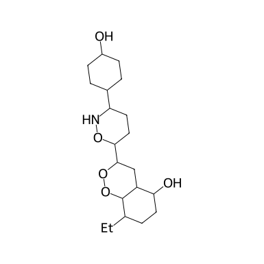 CCC1CCC(O)C2CC(C3CCC(C4CCC(O)CC4)NO3)OOC12